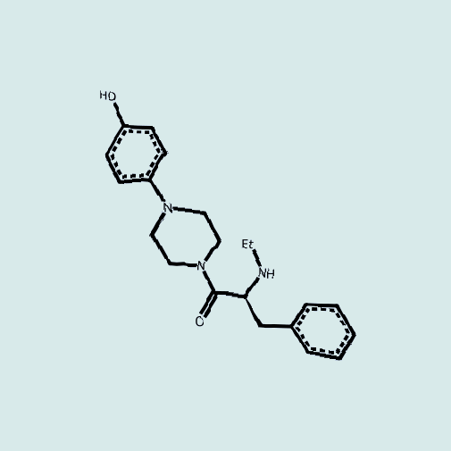 CCN[C@@H](Cc1ccccc1)C(=O)N1CCN(c2ccc(O)cc2)CC1